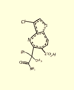 CC(C)C(C)(C(N)=O)c1nc2c(Cl)csc2cc1C(=O)O